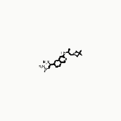 C=C(CN1CC(C)(C)C1)Nc1cc2cc(/C(N)=C/N(C)N)ccc2cn1